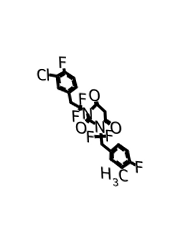 Cc1cc(CC(F)(F)N2C(=O)CC(=O)N(C(F)(F)Cc3ccc(F)c(Cl)c3)C2=O)ccc1F